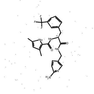 Cc1cc(C)c(C(=O)N[C@@H](Cc2cccc(C(F)(F)F)c2)C(=O)NCc2ccc(N)nc2)[nH]1